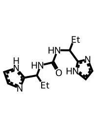 CCC(NC(=O)NC(CC)c1ncc[nH]1)c1ncc[nH]1